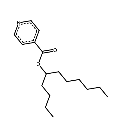 CCCCCCC(CCCC)OC(=O)c1ccncc1